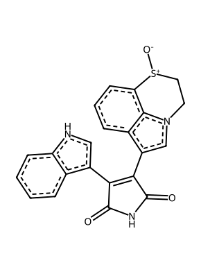 O=C1NC(=O)C(c2cn3c4c(cccc24)[S+]([O-])CC3)=C1c1c[nH]c2ccccc12